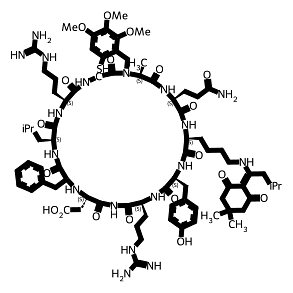 COc1cc(S)c(CN2C(=O)CNC(=O)[C@H](CCCNC(=N)N)NC(=O)[C@H](CC(C)C)NC(=O)C(Cc3ccccc3)N[C@@H](CC(=O)O)C(=O)NC(=O)[C@H](CCCNC(=N)N)NC(=O)[C@H](Cc3ccc(O)cc3)NC(=O)[C@H](CCCCNC(CC(C)C)=C3C(=O)CC(C)(C)CC3=O)NC(=O)[C@H](CCC(N)=O)NC(=O)[C@@H]2C)c(OC)c1OC